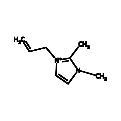 C=CC[n+]1ccn(C)c1C